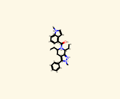 CCC1Cc2c(nn(C)c2-c2ccccc2)C(CC)N1C(=O)c1cccc2c1ccn2C